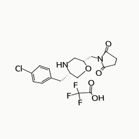 O=C(O)C(F)(F)F.O=C1CCC(=O)N1C[C@H]1CN[C@@H](Cc2ccc(Cl)cc2)CO1